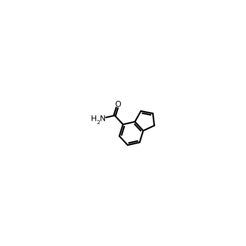 NC(=O)c1cccc2c1C=CC2